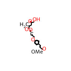 C=C(CC(=O)CO)C(=O)OCCCCOc1ccc(/C=C/C(=O)OC)cc1